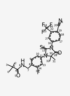 CC(C)(C)C(=O)NCc1ccc(N2C(=S)N(c3ccc(C#N)c(C(F)(F)F)c3)C(=O)C2(C)C)cc1F